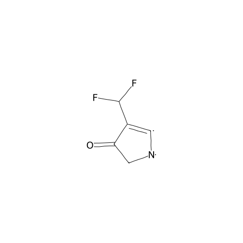 O=C1C[N][C]=C1C(F)F